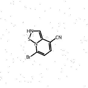 N#CC1=CC=C(Br)N2SNC=C12